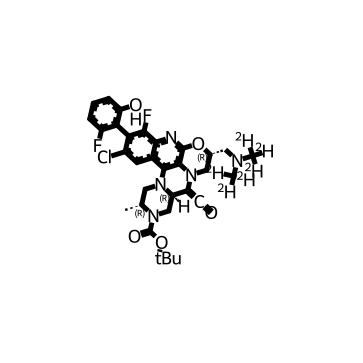 [2H]C([2H])([2H])N(C[C@@H]1CN2C(=C=O)[C@H]3CN(C(=O)OC(C)(C)C)[C@H](C)CN3c3c2c(nc2c(F)c(-c4c(O)cccc4F)c(Cl)cc32)O1)C([2H])([2H])[2H]